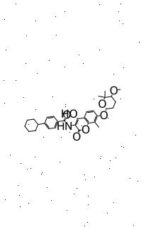 COC1CCC(Oc2ccc3c(O)c(NC(=O)c4ccc(C5CCCCC5)cc4)c(=O)oc3c2C)OC1(C)C